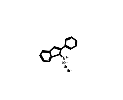 [Br-].[Br-].[Br-].[Ti+3][CH]1C(c2ccccc2)=Cc2ccccc21